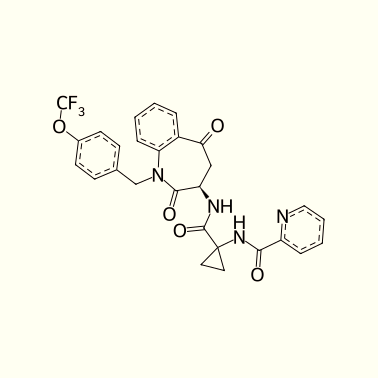 O=C(NC1(C(=O)N[C@@H]2CC(=O)c3ccccc3N(Cc3ccc(OC(F)(F)F)cc3)C2=O)CC1)c1ccccn1